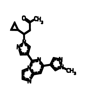 CC(=O)CC(C1CC1)n1cc(-c2nc(-c3cnn(C)c3)cc3nccn23)cn1